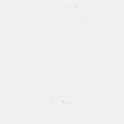 COC(=O)/C=C/C(=O)OCC(O)C(=O)n1cccn1